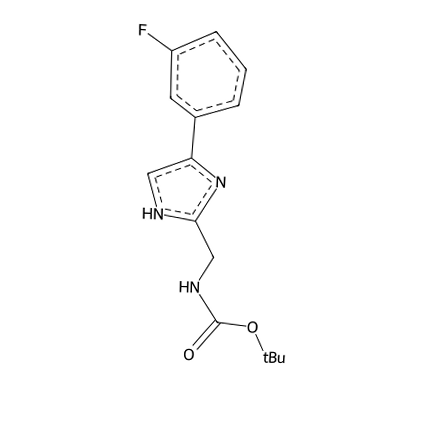 CC(C)(C)OC(=O)NCc1nc(-c2cccc(F)c2)c[nH]1